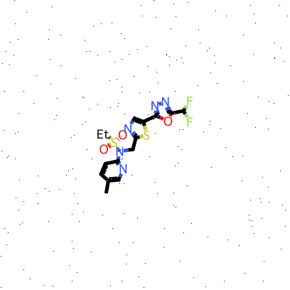 CCS(=O)(=O)N(Cc1ncc(-c2nnc(C(F)F)o2)s1)c1ccc(C)cn1